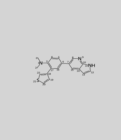 CN(C)c1ccc(-c2cnc3[nH]ccc3c2)cc1-c1ccsc1